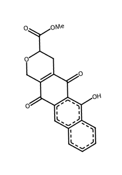 COC(=O)C1CC2=C(CO1)C(=O)c1cc3ccccc3c(O)c1C2=O